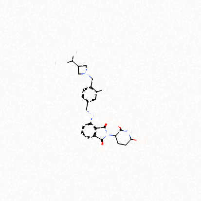 Cc1cc(CNc2cccc3c2C(=O)N(C2CCC(O)NC2=O)C3=O)ccc1CN1CC(C(C)C)C1